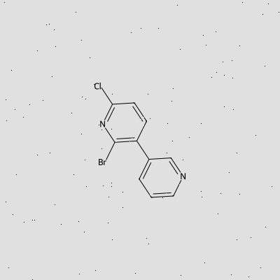 Clc1ccc(-c2cccnc2)c(Br)n1